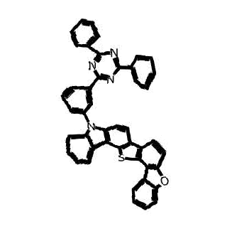 c1ccc(-c2nc(-c3ccccc3)nc(-c3cccc(-n4c5ccccc5c5c6sc7c(ccc8oc9ccccc9c87)c6ccc54)c3)n2)cc1